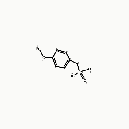 CC(C)Oc1ccc(CP(=O)(O)O)cc1